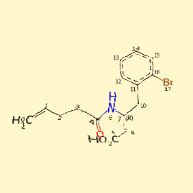 C=CCCC(=O)N[C@@H](CC(=O)O)Cc1ccccc1Br